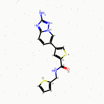 Nc1nc2ccc(-c3csc(C(=O)NCc4cccs4)c3)cn2n1